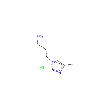 Cc1cn(CCCN)cn1.Cl